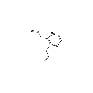 C=CCc1nccnc1CC=C